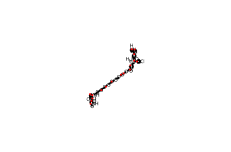 NC1(C(=O)N[C@@H](CCN2CCN(C(=O)CCOCCOCCOCCOCCOCCOCCOCCOCCOCCNc3cccc4c3C(=O)N(C3CCC(=O)NC3=O)C4=O)CC2)c2ccc(Cl)cc2)CCN(c2ncnc3[nH]ccc23)CC1